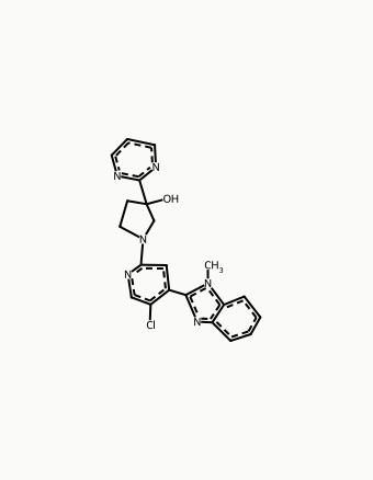 Cn1c(-c2cc(N3CCC(O)(c4ncccn4)C3)ncc2Cl)nc2ccccc21